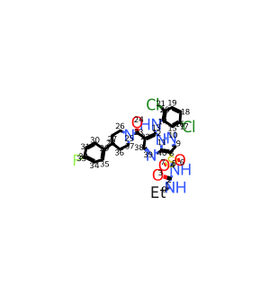 CCNC(=O)NS(=O)(=O)c1cnn2c(Nc3cc(Cl)ccc3Cl)c(C(=O)N3CCC(c4ccc(F)cc4)CC3)cnc12